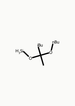 CCCCOC(C)(O[SiH3])C(C)CC